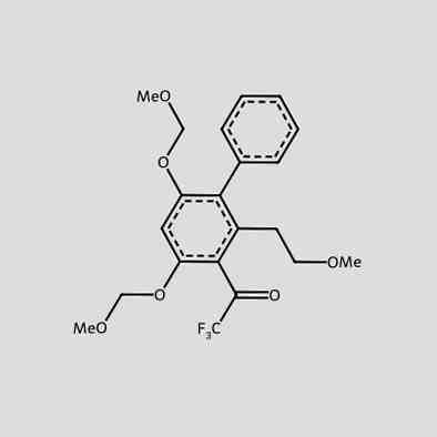 COCCc1c(C(=O)C(F)(F)F)c(OCOC)cc(OCOC)c1-c1ccccc1